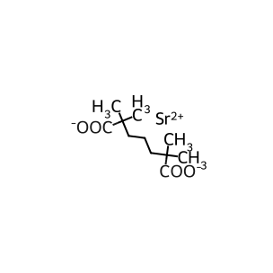 CC(C)(CCCC(C)(C)C(=O)[O-])C(=O)[O-].[Sr+2]